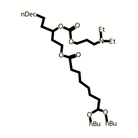 CCCCCCCCCCCCC(CCOC(=O)CCCCCCC(OCCCC)OCCCC)OC(=O)OCCCN(CC)CC